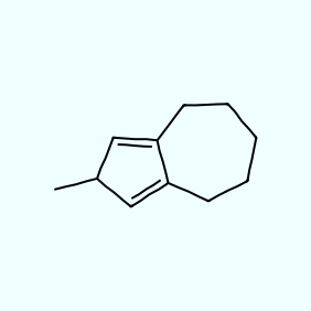 CC1C=C2CCCCCC2=C1